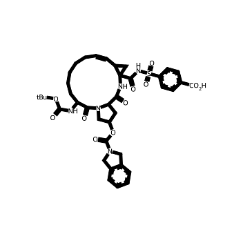 CC(C)(C)OC(=O)NC1CCCCCC=CC2CC2(C(=O)NS(=O)(=O)c2ccc(C(=O)O)cc2)NC(=O)C2CC(OC(=O)N3Cc4ccccc4C3)CN2C1=O